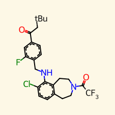 CC(C)(C)CC(=O)c1ccc(CNc2c(Cl)ccc3c2CCN(C(=O)C(F)(F)F)CC3)c(F)c1